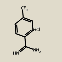 Cl.N=C(N)c1ccc(C(F)(F)F)cc1